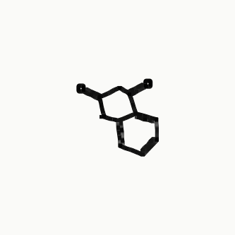 O=C1[CH]c2ccccc2C(=O)C1